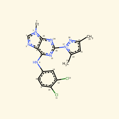 CCn1cnc2c(Nc3ccc(Cl)c(Cl)c3)nc(-n3nc(C)cc3C)nc21